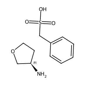 N[C@@H]1CCOC1.O=S(=O)(O)Cc1ccccc1